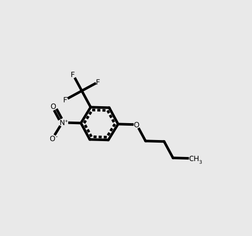 CCCCOc1ccc([N+](=O)[O-])c(C(F)(F)F)c1